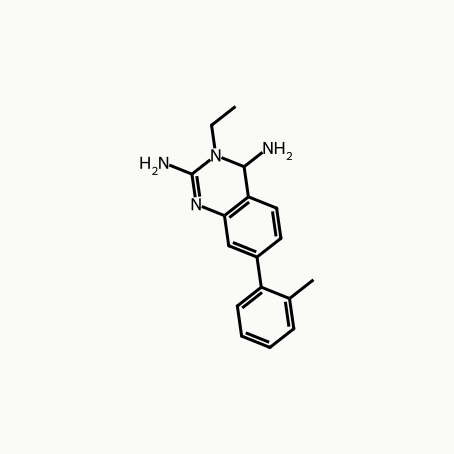 CCN1C(N)=Nc2cc(-c3ccccc3C)ccc2C1N